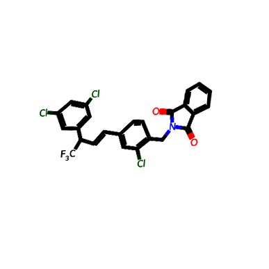 O=C1c2ccccc2C(=O)N1Cc1ccc(/C=C/C(c2cc(Cl)cc(Cl)c2)C(F)(F)F)cc1Cl